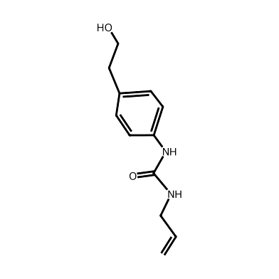 C=CCNC(=O)Nc1ccc(CCO)cc1